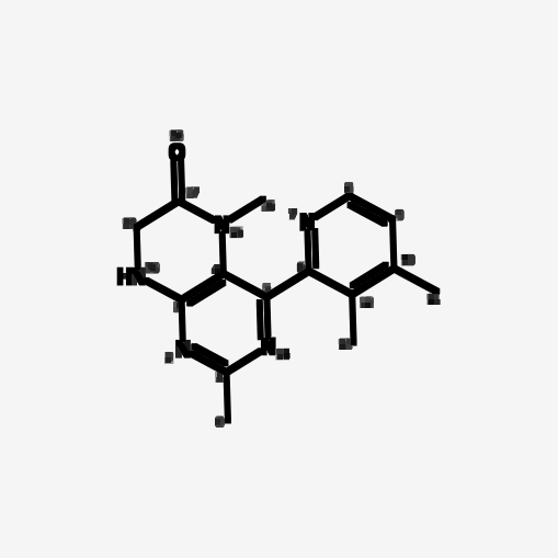 Cc1nc2c(c(-c3nccc(C)c3C)n1)N(C)C(=O)CN2